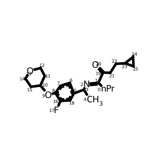 CCC/C(=N\C(C)c1ccc(OC2CCOCC2)c(F)c1)C(=O)CCC1CC1